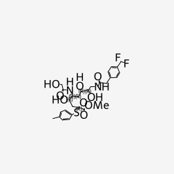 COC(=O)[C@]1(Sc2ccc(C)cc2)C[C@H](O)[C@@H](NC(=O)CO)[C@H]([C@H](O)[C@H](O)CNC(=O)Cc2ccc(C(F)F)cc2)O1